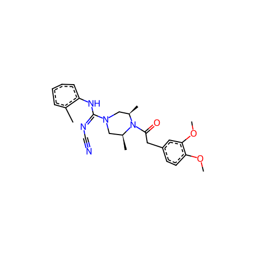 COc1ccc(CC(=O)N2[C@H](C)CN(/C(=N\C#N)Nc3ccccc3C)C[C@@H]2C)cc1OC